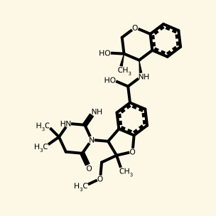 COCC1(C)Oc2ccc(C(O)N[C@@H]3c4ccccc4OC[C@@]3(C)O)cc2C1N1C(=N)NC(C)(C)CC1=O